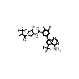 Cc1c(F)cc(-c2cc(C(F)(F)F)c3c(N)ncnn23)cc1C(=O)NC1CN(C(=O)C(C)C(F)(F)F)CC1F